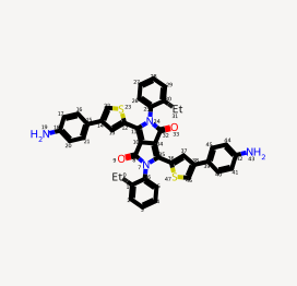 CCc1ccccc1N1C(=O)C2=C(c3cc(-c4ccc(N)cc4)cs3)N(c3ccccc3CC)C(=O)C2=C1c1cc(-c2ccc(N)cc2)cs1